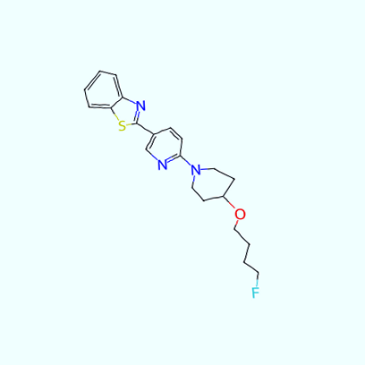 FCCCCOC1CCN(c2ccc(-c3nc4ccccc4s3)cn2)CC1